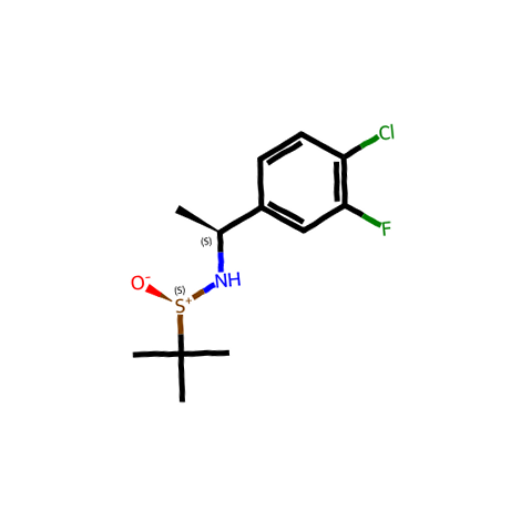 C[C@H](N[S@+]([O-])C(C)(C)C)c1ccc(Cl)c(F)c1